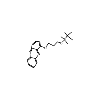 CC(C)(C)[Si](C)(C)OCCCOc1cccc2nc3ccccc3nc12